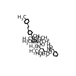 CNC(C(=O)NC(C(=O)N(C)C(C=C(C)C(=O)NS(=O)(=O)Cc1ccccc1)C(C)C)C(C)(C)C)C(C)(C)c1ccc(C=Cc2ccc(C)cc2)cc1